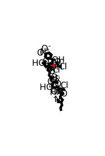 CCCC1CC(C(=O)N[C@H](C(C)Cl)[C@H]2O[C@H](SC)[C@H](OC(=O)CCCC(CC(=O)O)(CC(NC(=O)C(Cl)Cl)C(O)c3ccc([N+](=O)[O-])cc3)C(=O)O)[C@@H](O)[C@H]2O)N(C)C1